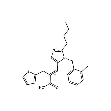 CCCCc1ncc(/C=C(\Cc2cccs2)C(=O)O)n1Cc1ccccc1C